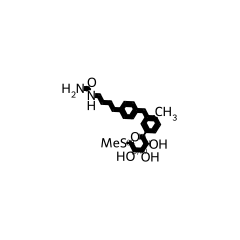 CS[C@H]1O[C@@H](c2ccc(C)c(Cc3ccc(CCCCNC(N)=O)cc3)c2)[C@H](O)[C@@H](O)[C@@H]1O